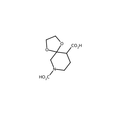 O=C(O)C1CCN(C(=O)O)CC12OCCO2